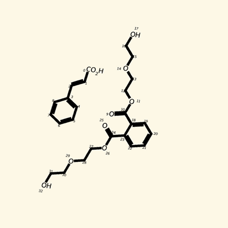 O=C(O)/C=C/c1ccccc1.O=C(OCCOCCO)c1ccccc1C(=O)OCCOCCO